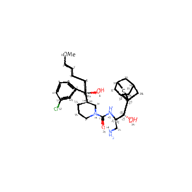 COCCCC[C@@](O)(c1cccc(Cl)c1)[C@@H]1CCCN(C(=O)N[C@H](CN)[C@@H](O)C23CC4CC(CC2C4)C3)C1